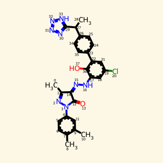 CC1=NN(c2ccc(C)c(C)c2)C(=O)C1=NNc1cc(Cl)cc(-c2ccc(C(C)c3nnn[nH]3)cc2)c1O